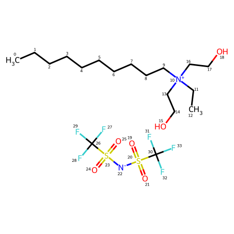 CCCCCCCCCC[N+](CC)(CCO)CCO.O=S(=O)([N-]S(=O)(=O)C(F)(F)F)C(F)(F)F